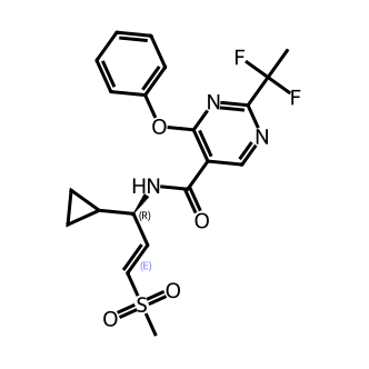 CC(F)(F)c1ncc(C(=O)N[C@@H](/C=C/S(C)(=O)=O)C2CC2)c(Oc2ccccc2)n1